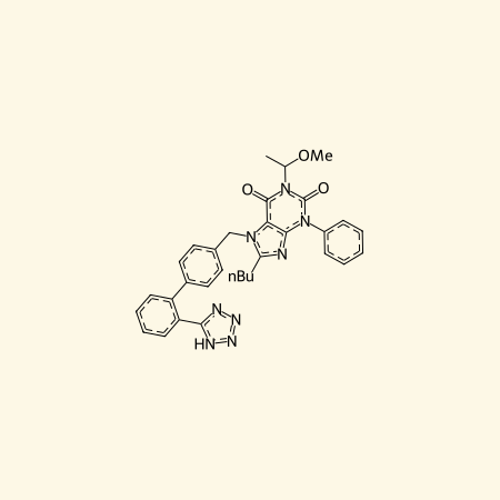 CCCCc1nc2c(c(=O)n(C(C)OC)c(=O)n2-c2ccccc2)n1Cc1ccc(-c2ccccc2-c2nnn[nH]2)cc1